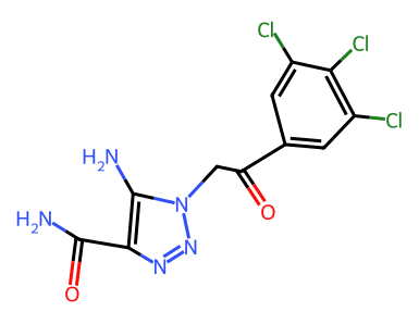 NC(=O)c1nnn(CC(=O)c2cc(Cl)c(Cl)c(Cl)c2)c1N